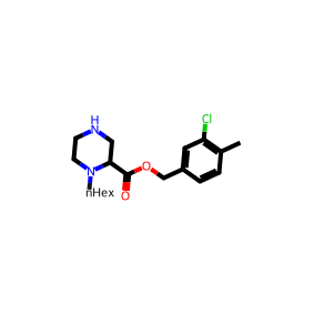 [CH2]CCCCCN1CCNCC1C(=O)OCc1ccc(C)c(Cl)c1